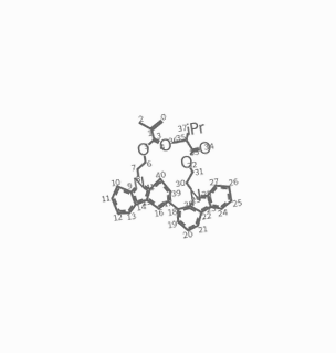 C=C(C)C(=O)OCCn1c2ccccc2c2cc(-c3cccc4c5ccccc5n(CCOC(=O)C(C)C(C)C)c34)ccc21